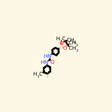 Cc1cc(NC(=O)Nc2ccc(B3OC(C)(C)C(C)(C)O3)cc2)ccc1F